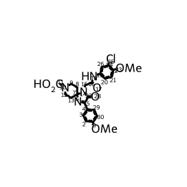 COc1ccc(C2=NC3(CCN(C(=O)O)CC3)N(CC(=O)Nc3ccc(OC)c(Cl)c3)C2=O)cc1